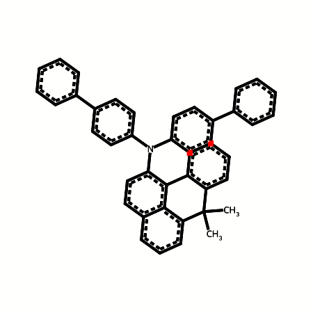 CC1(C)c2ccccc2-c2c(N(c3ccc(-c4ccccc4)cc3)c3ccc(-c4ccccc4)cc3)ccc3cccc1c23